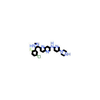 Fc1ccc(Cl)cc1-c1[nH]cnc1-c1ccc2ncc(Nc3ccc(N4CCNCC4)cn3)cc2n1